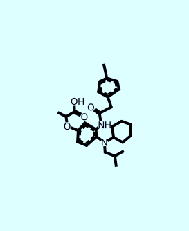 Cc1ccc(CC(=O)Nc2cc(OC(C)C(=O)O)ccc2N(CC(C)C)C2CCCCC2)cc1